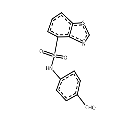 O=Cc1ccc(NS(=O)(=O)c2cccc3scnc23)cc1